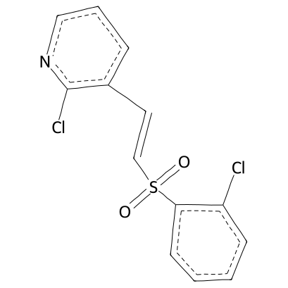 O=S(=O)(/C=C/c1cccnc1Cl)c1ccccc1Cl